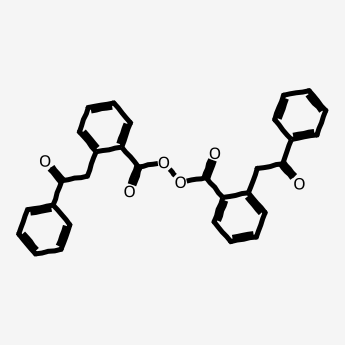 O=C(Cc1ccccc1C(=O)OOC(=O)c1ccccc1CC(=O)c1ccccc1)c1ccccc1